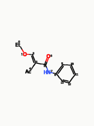 CCO/C=C(\C(C)=O)C(=O)Nc1ccccc1